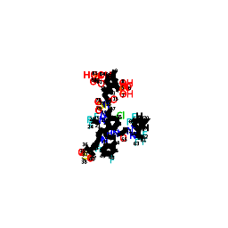 Cc1cc(CP(=O)(O)O)c(C(C)(C)CC(=O)N(Cc2nn(CC(F)(F)F)c3c(-c4ccc(C#CC(C)(C)S(C)(=O)=O)nc4[C@H](Cc4cc(F)cc(F)c4)NC(=O)Cn4nc(C(F)(F)F)c5c4C(F)(F)[C@@H]4C[C@H]54)ccc(Cl)c23)[SH](=O)=O)c(OP(=O)(O)O)c1